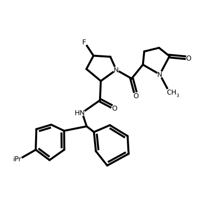 CC(C)c1ccc(C(NC(=O)C2CC(F)CN2C(=O)C2CCC(=O)N2C)c2ccccc2)cc1